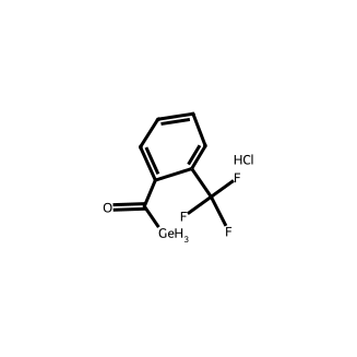 Cl.O=[C]([GeH3])c1ccccc1C(F)(F)F